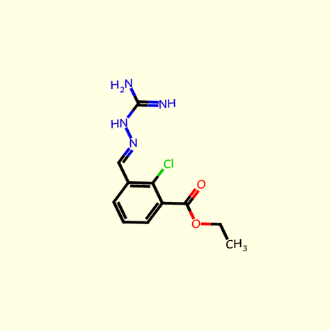 CCOC(=O)c1cccc(C=NNC(=N)N)c1Cl